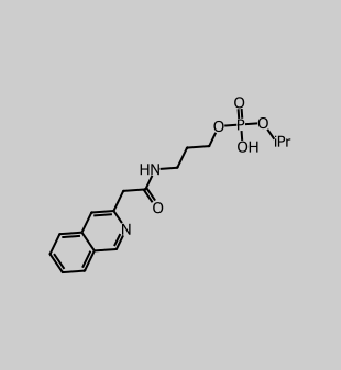 CC(C)OP(=O)(O)OCCCNC(=O)Cc1cc2ccccc2cn1